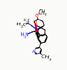 COC1CCC2(CC1)Cc1ccc(-c3cncc(C)c3)cc1C21N=C(N)N(C(C)C)C1=O